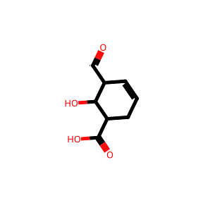 O=[C]C1C=CCC(C(=O)O)C1O